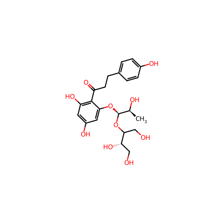 C[C@H](O)[C@H](Oc1cc(O)cc(O)c1C(=O)CCc1ccc(O)cc1)OC(CO)[C@@H](O)CO